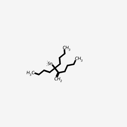 C=C(CCCC)[C]([Sn])(CCCC)CCCC